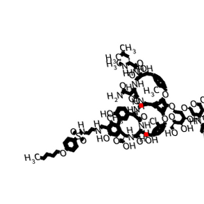 CCCCCOc1ccc(S(=O)(=O)NCCNCc2c(O)cc3c(c2C)-c2cc(ccc2O)[C@H]2NC(=O)[C@@H]4NC(=O)[C@H](CC(N)=O)NC(=O)[C@H](NC(=O)[C@@H](CC(C)C)NC)[C@H](O)c5ccc(c(C)c5)Oc5cc4cc(c5O[C@@H]4O[C@H](CO)[C@@H](O)[C@H](O)[C@H]4O[C@H]4C[C@](C)(NC(=O)CN)[C@H](O)[C@H](C)O4)Oc4ccc(cc4Cl)[C@@H](O)[C@H](NC2=O)C(=O)N[C@@H]3C(=O)O)cc1